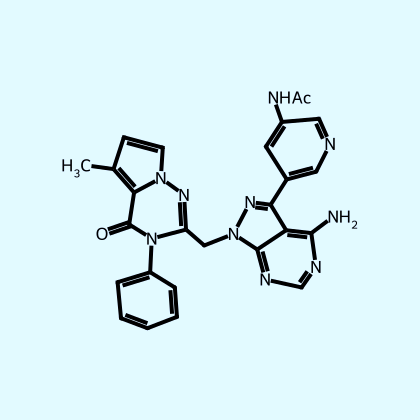 CC(=O)Nc1cncc(-c2nn(Cc3nn4ccc(C)c4c(=O)n3-c3ccccc3)c3ncnc(N)c23)c1